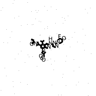 C=CC(=O)N1CC(c2cc(N3CC(CS(C)(=O)=O)C3)c3cnc(Nc4ccnc(N5CC[C@@H](OC)[C@@H](F)C5)n4)cc3c2C(C)C)C1